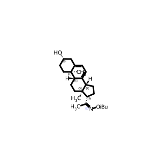 C/C(=N/OCC(C)C)[C@H]1CC[C@H]2C3=CC=C4C[C@@H](O)CC[C@]4(C)[C@H]3CC[C@]12C